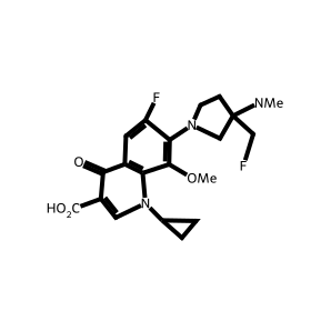 CNC1(CF)CCN(c2c(F)cc3c(=O)c(C(=O)O)cn(C4CC4)c3c2OC)C1